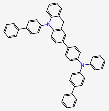 c1ccc(-c2ccc(N(c3ccccc3)c3ccc(-c4ccc5c(c4)Cc4ccccc4N5c4ccc(-c5ccccc5)cc4)cc3)cc2)cc1